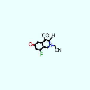 Cc1c(C(=O)O)c2cc(=O)cc(F)c-2cn1CC#N